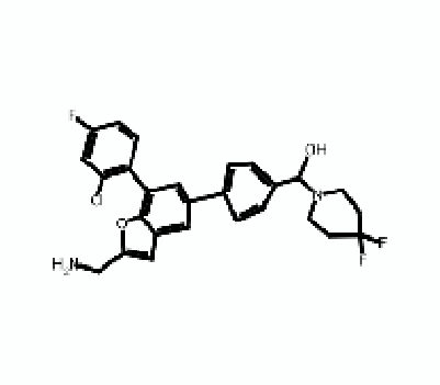 NCc1cc2cc(-c3ccc(C(O)N4CCC(F)(F)CC4)cc3)cc(-c3ccc(F)cc3Cl)c2o1